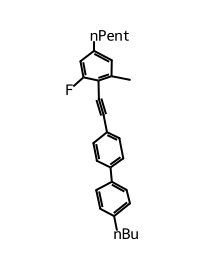 CCCCCc1cc(C)c(C#Cc2ccc(-c3ccc(CCCC)cc3)cc2)c(F)c1